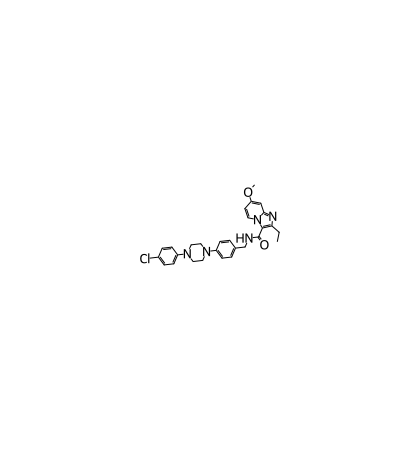 CCc1nc2cc(OC)ccn2c1C(=O)NCc1ccc(N2CCN(c3ccc(Cl)cc3)CC2)cc1